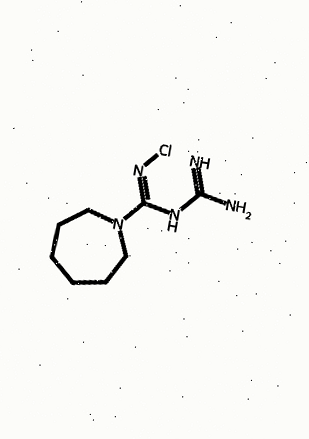 N=C(N)NC(=NCl)N1CCCCCC1